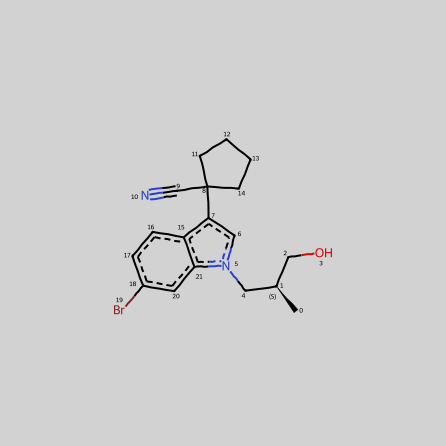 C[C@H](CO)Cn1cc(C2(C#N)CCCC2)c2ccc(Br)cc21